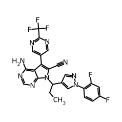 CCC(c1cnn(-c2ccc(F)cc2F)c1)n1c(C#N)c(-c2cnc(C(F)(F)F)nc2)c2c(N)ncnc21